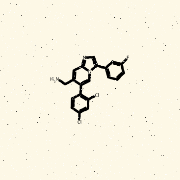 NCc1cc2ncc(-c3cccc(F)c3)n2cc1-c1ccc(Cl)cc1Cl